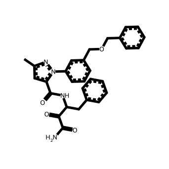 Cc1cc(C(=O)NC(Cc2ccccc2)C(=O)C(N)=O)n(-c2cccc(COCc3ccccc3)c2)n1